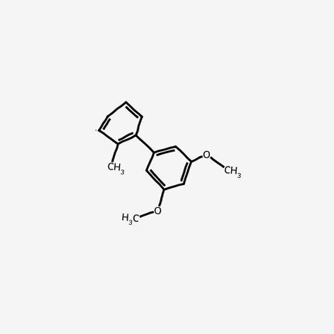 COc1cc(OC)cc(-c2ccc[c]c2C)c1